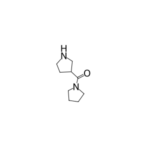 O=C(C1CCNC1)N1CCCC1